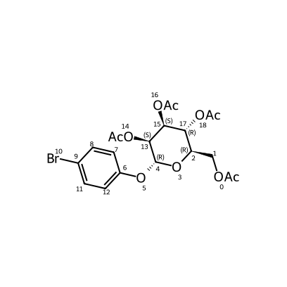 CC(=O)OC[C@H]1O[C@H](Oc2ccc(Br)cc2)[C@@H](OC(C)=O)[C@@H](OC(C)=O)[C@@H]1OC(C)=O